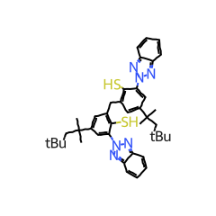 CC(C)(C)CC(C)(C)c1cc(Cc2cc(C(C)(C)CC(C)(C)C)cc(-n3nc4ccccc4n3)c2S)c(S)c(-n2nc3ccccc3n2)c1